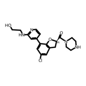 O=C([C@H]1Cc2cc(Cl)cc(-c3ccnc(NCCO)c3)c2O1)N1CCNCC1